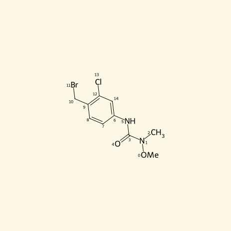 CON(C)C(=O)Nc1ccc(CBr)c(Cl)c1